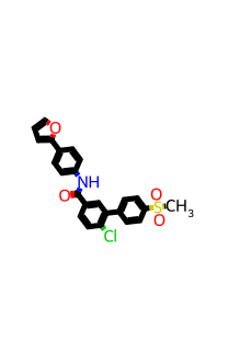 CS(=O)(=O)c1ccc(-c2cc(C(=O)Nc3ccc(-c4ccco4)cc3)ccc2Cl)cc1